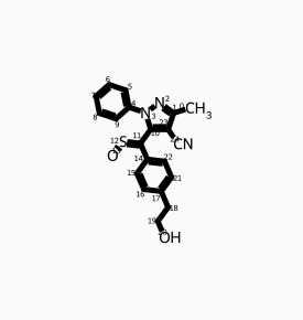 Cc1nn(-c2ccccc2)c(C(=S=O)c2ccc(CCO)cc2)c1C#N